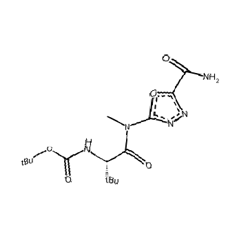 CN(C(=O)[C@@H](NC(=O)OC(C)(C)C)C(C)(C)C)c1nnc(C(N)=O)o1